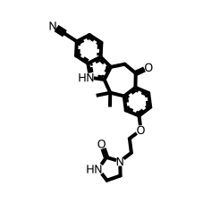 CC1(C)c2cc(OCCN3CCNC3=O)ccc2C(=O)Cc2c1[nH]c1cc(C#N)ccc21